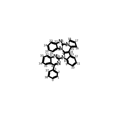 c1ccc(-c2nc(-n3c4ccccc4c4c5cccn5c5nc6ccccc6n5c43)nc3ccccc23)cc1